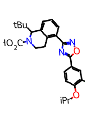 CC(C)Oc1ccc(-c2nc(-c3cccc4c3CCN(C(=O)O)C4C(C)(C)C)no2)cc1Cl